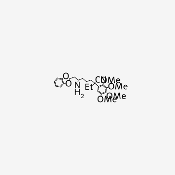 CCC(C#N)(CCCC(N)CC1Oc2ccccc2O1)c1cc(OC)c(OC)c(OC)c1OC